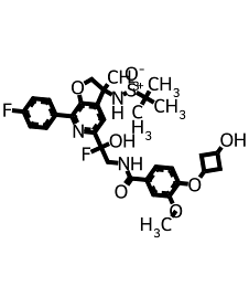 COc1cc(C(=O)NCC(O)(F)c2cc3c(c(-c4ccc(F)cc4)n2)OCC3(C)N[S+]([O-])C(C)(C)C)ccc1OC1CC(O)C1